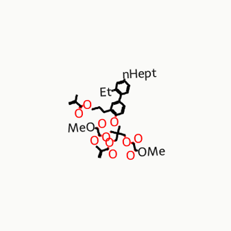 C=C(C)C(=O)OCCCc1cc(-c2ccc(CCCCCCC)cc2CC)ccc1OCC(COC(=O)C(=C)C)(COC(=O)C(=O)OC)COC(=O)C(=O)OC